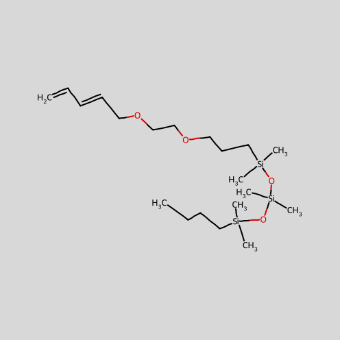 C=CC=CCOCCOCCC[Si](C)(C)O[Si](C)(C)O[Si](C)(C)CCCC